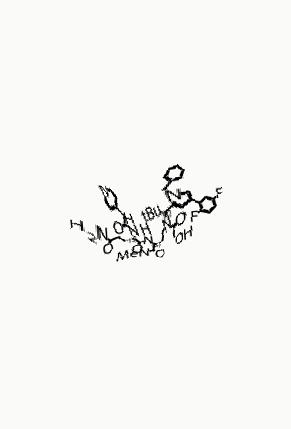 CNC(=O)[C@H](CCN(C(=O)CO)[C@@H](c1cc(-c2cc(F)ccc2F)cn1Cc1ccccc1)C(C)(C)C)NC(=O)[C@H](CCC(N)=O)NC(=O)Cc1ccncc1